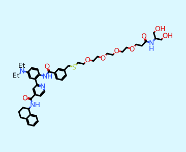 CCN(CC)c1ccc(NC(=O)c2cccc(CSCCOCCOCCOCCOCCC(=O)NC(CO)CO)c2)c(-c2cc(C(=O)NC3CCCc4ccccc43)ccn2)c1